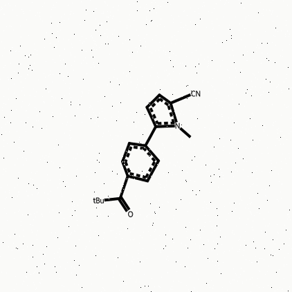 Cn1c(C#N)ccc1-c1ccc(C(=O)C(C)(C)C)cc1